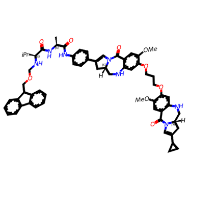 COc1cc2c(cc1OCCCOc1cc3c(cc1OC)C(=O)N1C=C(C4CC4)C[C@H]1CN3)NC[C@@H]1CC(c3ccc(NC(=O)[C@H](C)NC(=O)[C@@H](NCOCC4c5ccccc5-c5ccccc54)C(C)C)cc3)=CN1C2=O